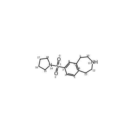 O=S(=O)(c1ccc2c(c1)CCNCC2)N1CCCC1